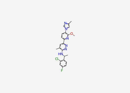 COc1nc(-c2cc(C)c(NC(C)c3ccc(F)cc3Cl)nn2)ccc1-n1cnc(C)c1